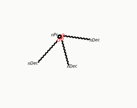 [CH2]CCc1cc(OCCCCCCCCCCCCCCCCCCCCCCCCCCCC)c(OCCCCCCCCCCCCCCCCCCCCCCCCCCCC)c(OCCCCCCCCCCCCCCCCCCCCCCCCCCCC)c1